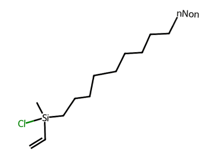 C=C[Si](C)(Cl)CCCCCCCCCCCCCCCCCC